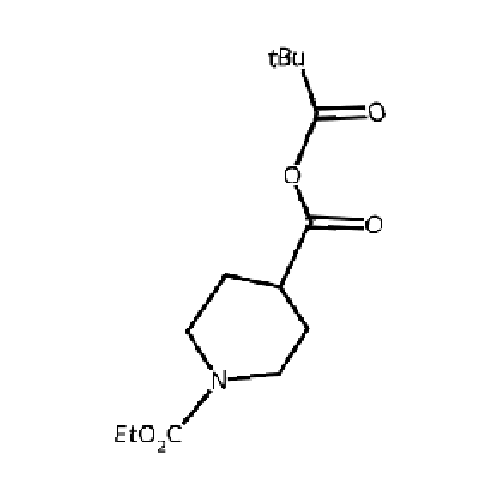 CCOC(=O)N1CCC(C(=O)OC(=O)C(C)(C)C)CC1